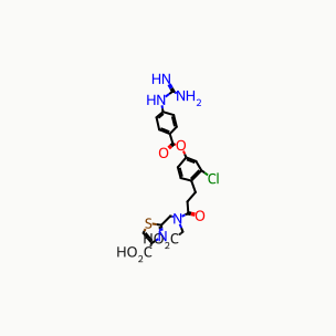 N=C(N)Nc1ccc(C(=O)Oc2ccc(CCC(=O)N(CC(=O)O)Cc3nc(C(=O)O)cs3)c(Cl)c2)cc1